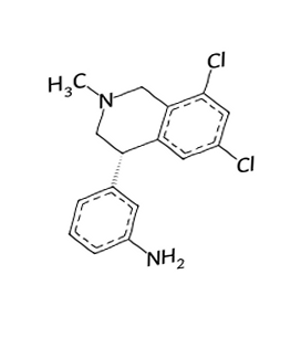 CN1Cc2c(Cl)cc(Cl)cc2[C@H](c2cccc(N)c2)C1